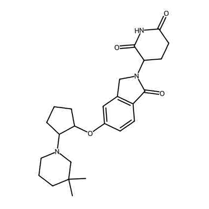 CC1(C)CCCN(C2CCCC2Oc2ccc3c(c2)CN(C2CCC(=O)NC2=O)C3=O)C1